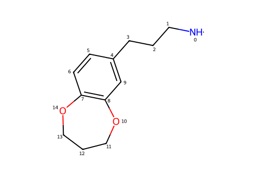 [NH]CCCc1ccc2c(c1)OCCCO2